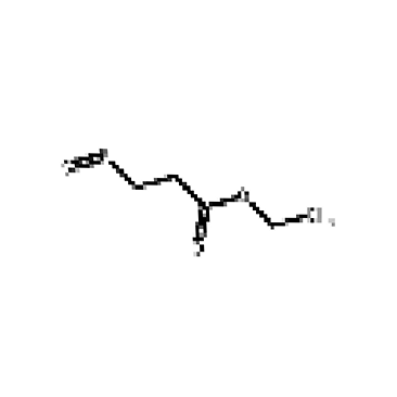 CCOC(=O)CCP=S